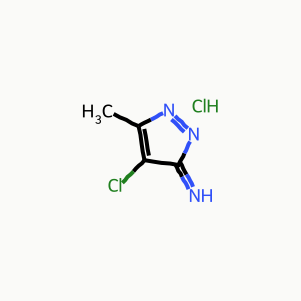 CC1=C(Cl)C(=N)N=N1.Cl